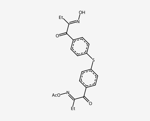 CCC(=NO)C(=O)c1ccc(Sc2ccc(C(=O)C(CC)=NOC(C)=O)cc2)cc1